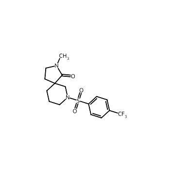 CN1CCC2(CCCN(S(=O)(=O)c3ccc(C(F)(F)F)cc3)C2)C1=O